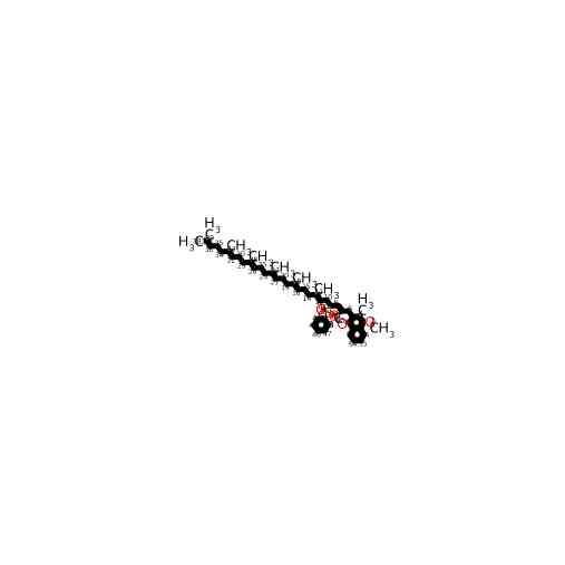 COc1c(C)c(C/C=C/C(C/C=C(\C)CC/C=C(\C)CC/C=C(\C)CC/C=C(\C)CC/C=C(\C)CCC=C(C)C)S(=O)(=O)c2ccccc2)c(OC)c2ccccc12